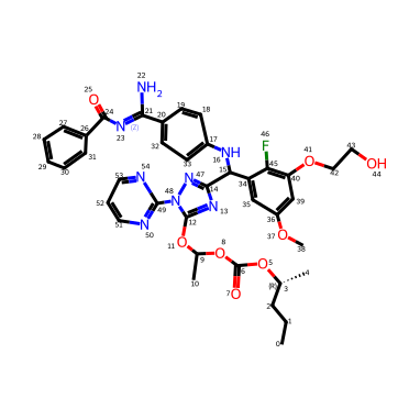 CCC[C@@H](C)OC(=O)OC(C)Oc1nc(C(Nc2ccc(/C(N)=N/C(=O)c3ccccc3)cc2)c2cc(OC)cc(OCCO)c2F)nn1-c1ncccn1